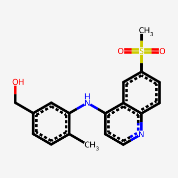 Cc1ccc(CO)cc1Nc1ccnc2ccc(S(C)(=O)=O)cc12